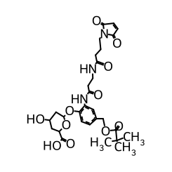 CC(C)(C)C(=O)OCc1ccc(OC2CC(O)CC(C(=O)O)O2)c(NC(=O)CCNC(=O)CCCN2C(=O)C=CC2=O)c1